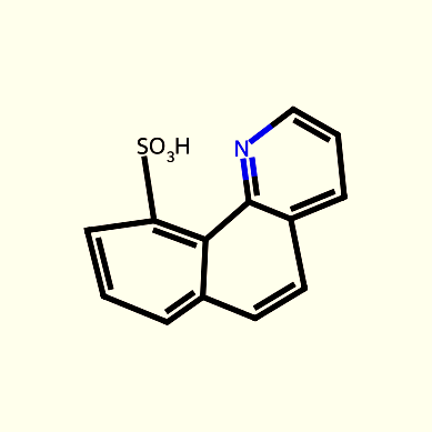 O=S(=O)(O)c1cccc2ccc3cccnc3c12